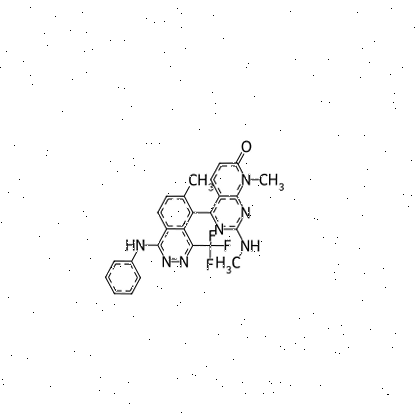 CNc1nc(-c2c(C)ccc3c(Nc4ccccc4)nnc(C(F)(F)F)c23)c2ccc(=O)n(C)c2n1